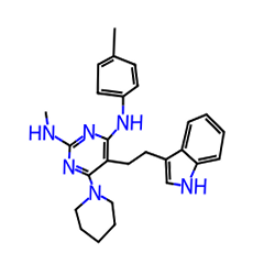 CNc1nc(Nc2ccc(C)cc2)c(CCc2c[nH]c3ccccc23)c(N2CCCCC2)n1